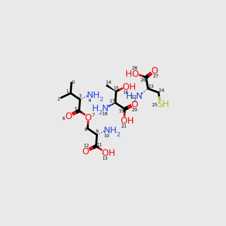 CC(C)[C@H](N)C(=O)OC[C@H](N)C(=O)O.C[C@@H](O)[C@H](N)C(=O)O.N[C@@H](CS)C(=O)O